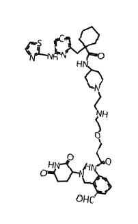 CN(Cc1c(C=O)cccc1NC(=O)CCOCCNCCN1CCC(NC(=O)C2(Cc3cccc(Nc4nccs4)n3)CCCCC2)CC1)C1CCC(=O)NC1=O